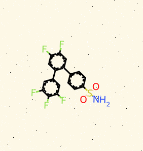 NS(=O)(=O)c1ccc(-c2cc(F)c(F)cc2-c2cc(F)c(F)c(F)c2)cc1